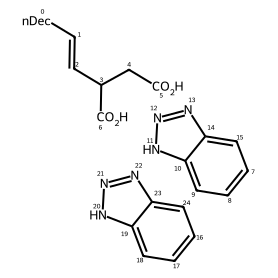 CCCCCCCCCCC=CC(CC(=O)O)C(=O)O.c1ccc2[nH]nnc2c1.c1ccc2[nH]nnc2c1